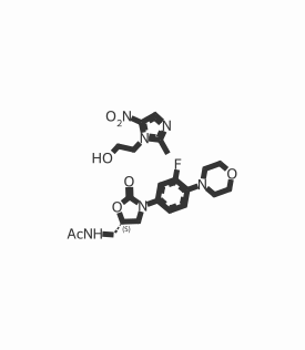 CC(=O)NC[C@H]1CN(c2ccc(N3CCOCC3)c(F)c2)C(=O)O1.Cc1ncc([N+](=O)[O-])n1CCO